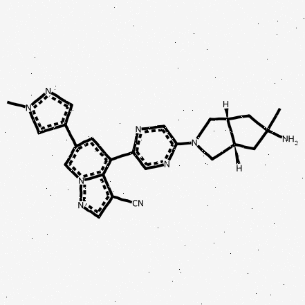 Cn1cc(-c2cc(-c3cnc(N4C[C@@H]5CC(C)(N)C[C@@H]5C4)cn3)c3c(C#N)cnn3c2)cn1